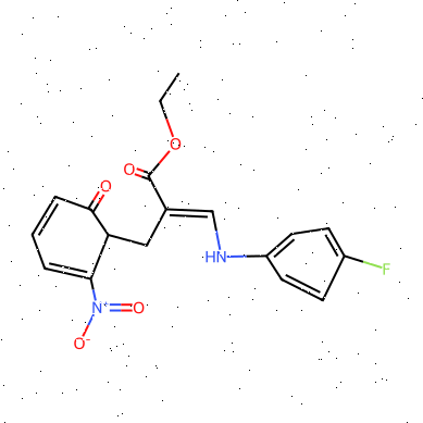 CCOC(=O)/C(=C/Nc1ccc(F)cc1)CC1C(=O)C=CC=C1[N+](=O)[O-]